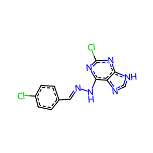 Clc1ccc(C=NNc2nc(Cl)nc3[nH]cnc23)cc1